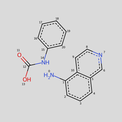 Nc1cccc2cnccc12.O=C(O)Nc1ccccc1